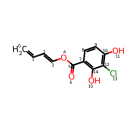 C=CC=COC(=O)c1ccc(O)c(Cl)c1O